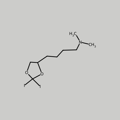 CN(C)CCCCC1COC(I)(I)O1